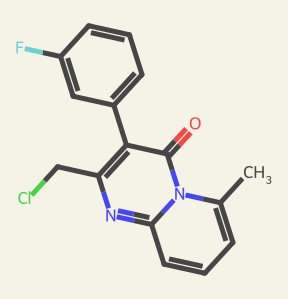 Cc1cccc2nc(CCl)c(-c3cccc(F)c3)c(=O)n12